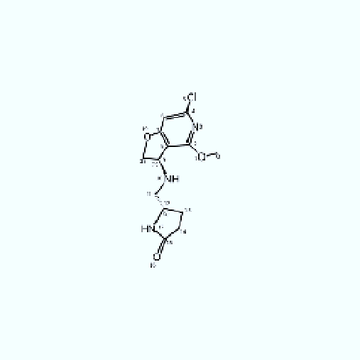 COc1nc(Cl)cc2c1[C@@H](NC[C@@H]1CCC(=O)N1)CO2